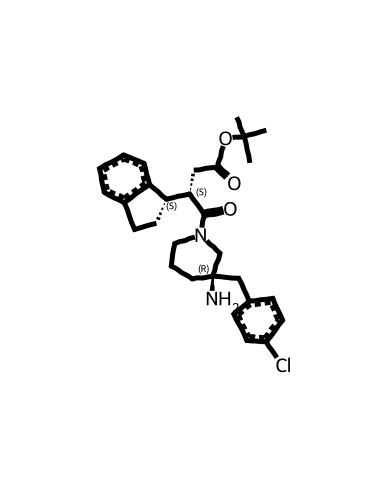 CC(C)(C)OC(=O)C[C@H](C(=O)N1CCC[C@@](N)(Cc2ccc(Cl)cc2)C1)[C@@H]1CCc2ccccc21